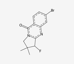 CC1(C)Cn2c(nc3cc(Br)ccc3c2=O)C1F